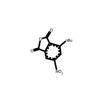 CCCCc1cc([N+](=O)[O-])cc2c1C(=O)OC2=O